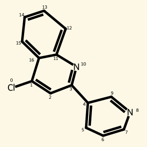 Clc1cc(-c2cccnc2)nc2ccccc12